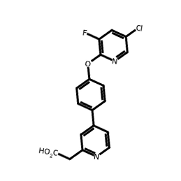 O=C(O)Cc1cc(-c2ccc(Oc3ncc(Cl)cc3F)cc2)ccn1